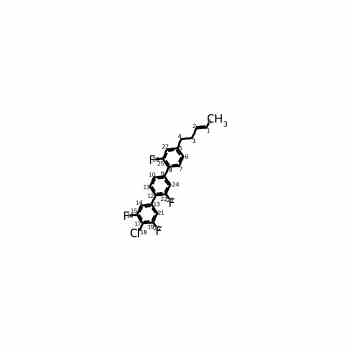 C/C=C/CCc1ccc(-c2ccc(-c3cc(F)c(Cl)c(F)c3)c(F)c2)c(F)c1